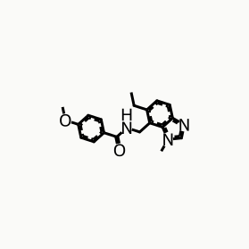 CCc1ccc2ncn(C)c2c1CNC(=O)c1ccc(OC)cc1